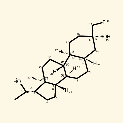 CC(O)[C@H]1CC[C@H]2[C@@H]3CC[C@@H]4C[C@](O)(CF)CC[C@@H]4[C@H]3CC[C@]12C